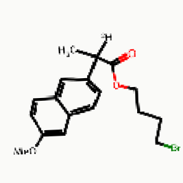 [2H]C(C)(C(=O)OCCCCBr)c1ccc2cc(OC)ccc2c1